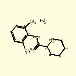 Cc1cccc(C)c1NC(=S)C1CCCCN1.Cl